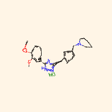 COc1ccc(-c2nc(-c3cccc(CN4CCCC4)c3)n[nH]2)cc1OC.Cl